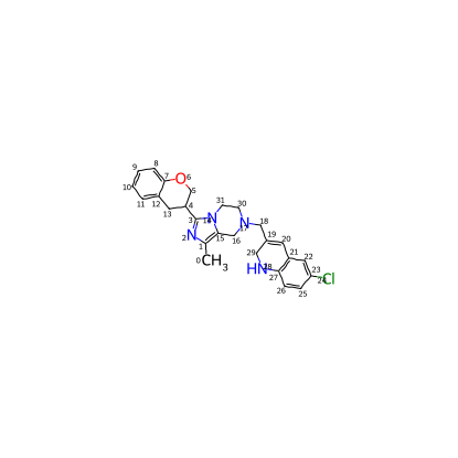 Cc1nc(C2COc3ccccc3C2)n2c1CN(CC1=Cc3cc(Cl)ccc3NC1)CC2